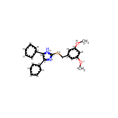 COc1cc(CSc2nc(-c3ccccc3)c(-c3ccccc3)[nH]2)cc(OC)c1